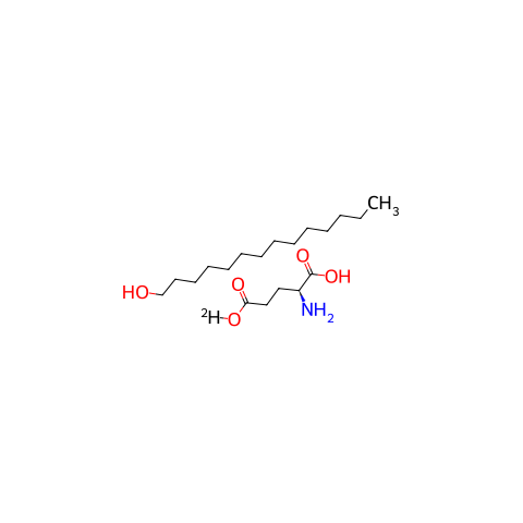 CCCCCCCCCCCCCCO.[2H]OC(=O)CC[C@H](N)C(=O)O